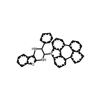 c1ccc(C2Nc3c(oc4ccccc34)NC2n2c3cccc4c3c3c(cccc32)-c2cccc3cccc-4c23)cc1